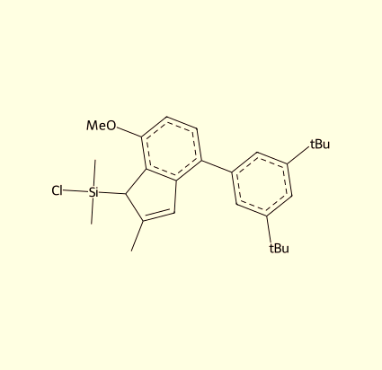 COc1ccc(-c2cc(C(C)(C)C)cc(C(C)(C)C)c2)c2c1C([Si](C)(C)Cl)C(C)=C2